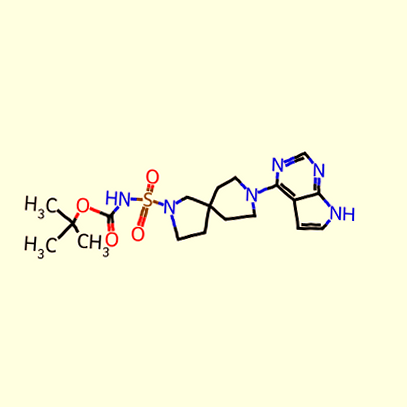 CC(C)(C)OC(=O)NS(=O)(=O)N1CCC2(CCN(c3ncnc4[nH]ccc34)CC2)C1